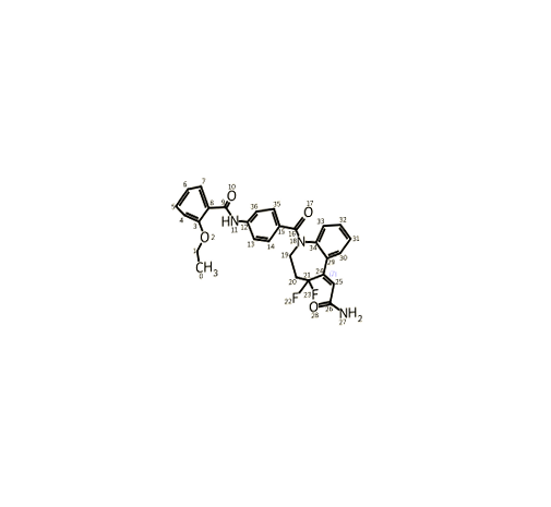 CCOc1ccccc1C(=O)Nc1ccc(C(=O)N2CCC(F)(F)/C(=C\C(N)=O)c3ccccc32)cc1